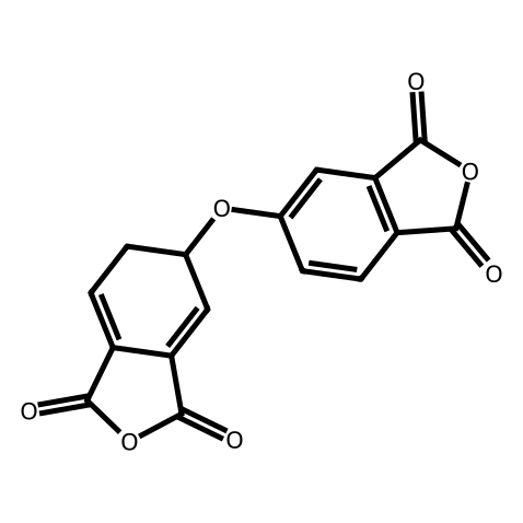 O=C1OC(=O)C2=CC(Oc3ccc4c(c3)C(=O)OC4=O)CC=C12